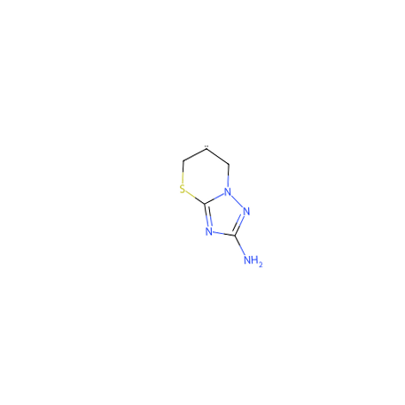 Nc1nc2n(n1)C[C]CS2